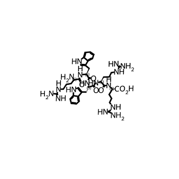 N=C(N)NCCC[C@H](NC(=O)[C@H](CCCNC(=N)N)NC(=O)[C@H](Cc1c[nH]c2ccccc12)NC(=O)[C@H](Cc1c[nH]c2ccccc12)NC(=O)[C@@H](N)CCCNC(=N)N)C(=O)O